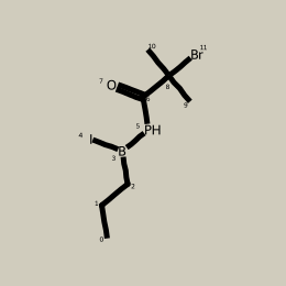 CCCB(I)PC(=O)C(C)(C)Br